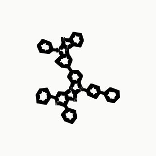 c1ccc(-c2ccc(-n3c4ccc(-c5ccc6c(c5)n5c7ccccc7nc5n6-c5ccccc5)cc4n4c5cc(-c6ccccc6)nc(-c6ccccc6)c5nc34)cc2)cc1